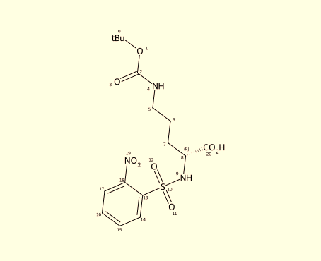 CC(C)(C)OC(=O)NCCC[C@@H](NS(=O)(=O)c1ccccc1[N+](=O)[O-])C(=O)O